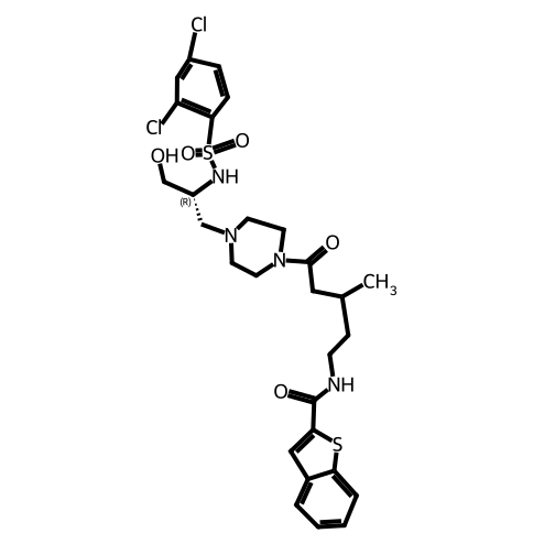 CC(CCNC(=O)c1cc2ccccc2s1)CC(=O)N1CCN(C[C@H](CO)NS(=O)(=O)c2ccc(Cl)cc2Cl)CC1